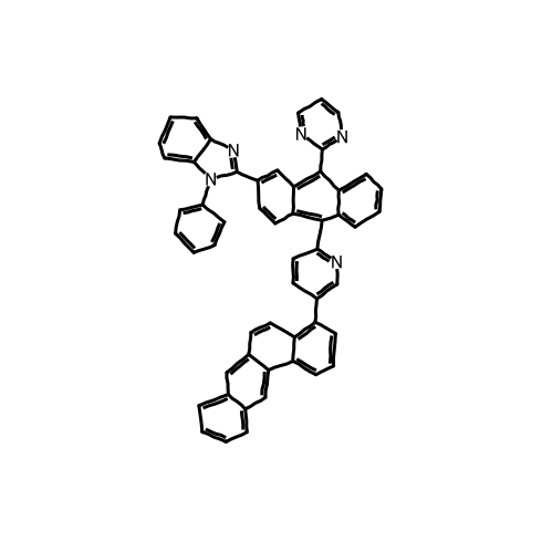 c1ccc(-n2c(-c3ccc4c(-c5ccc(-c6cccc7c6ccc6cc8ccccc8cc67)cn5)c5ccccc5c(-c5ncccn5)c4c3)nc3ccccc32)cc1